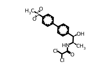 C[C@@H](NC(=O)C(Cl)Cl)[C@H](O)c1ccc(-c2ccc(S(C)(=O)=O)cc2)cc1